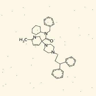 CC1=NCC(C(=O)N(Cc2ccccc2)C2CCCCC2)(N2CCN(CCC(c3ccccc3)c3ccccc3)CC2)C=C1